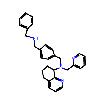 c1ccc(CNCc2ccc(CN(Cc3ccccn3)C3CCCc4cccnc43)cc2)cc1